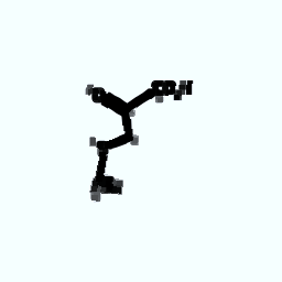 CCCCSCC(=O)C(=O)O